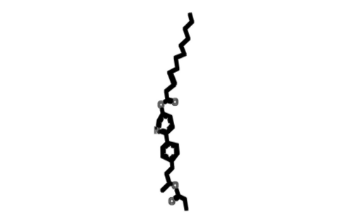 CCCCCCCCC=CCC(=O)Oc1ccc(-c2ccc(CCC(C)OC(=O)CC)cc2)nc1